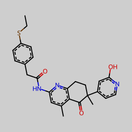 CCSc1ccc(CC(=O)Nc2cc(C)c3c(n2)CCC(C)(c2ccnc(O)c2)C3=O)cc1